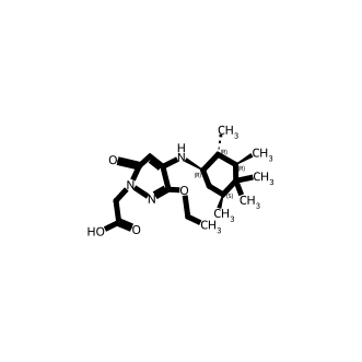 CCOc1nn(CC(=O)O)c(=O)cc1N[C@@H]1C[C@H](C)C(C)(C)[C@H](C)[C@H]1C